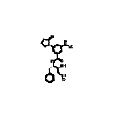 CCNc1cc(C(=O)N[C@@H](Cc2ccccc2)[C@H](O)CNC(C)C)cc(N2CCCC2=O)c1